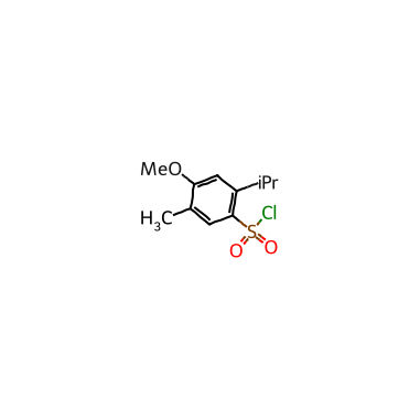 COc1cc(C(C)C)c(S(=O)(=O)Cl)cc1C